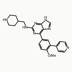 COc1ccc(-c2nc(NCC3CCNCC3)nc3[nH]cnc23)cc1-c1ccncc1